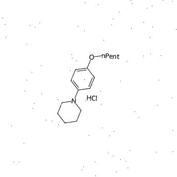 CCCCCOc1ccc(N2CCCCC2)cc1.Cl